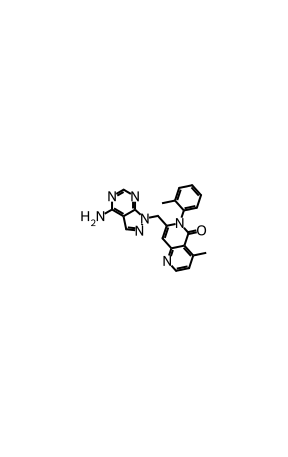 Cc1ccccc1-n1c(Cn2ncc3c(N)ncnc32)cc2nccc(C)c2c1=O